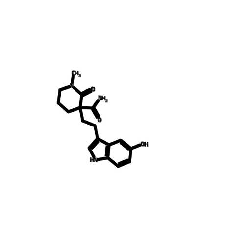 CN1CCCC(CCc2c[nH]c3ccc(O)cc23)(C(N)=O)C1=O